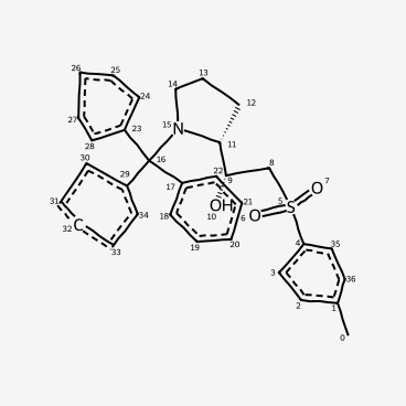 Cc1ccc(S(=O)(=O)C[C@H](O)[C@H]2CCCN2C(c2ccccc2)(c2ccccc2)c2ccccc2)cc1